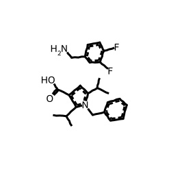 CC(C)c1cc(C(=O)O)c(C(C)C)n1Cc1ccccc1.NCc1ccc(F)c(F)c1